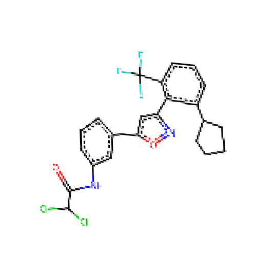 O=C(Nc1cccc(-c2cc(-c3c(C4CCCC4)cccc3C(F)(F)F)no2)c1)C(Cl)Cl